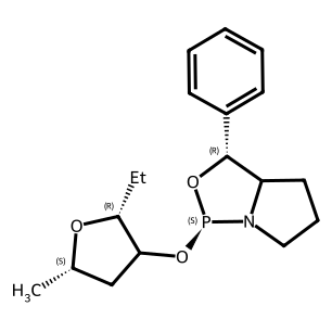 CC[C@H]1O[C@@H](C)CC1O[P@@]1O[C@H](c2ccccc2)C2CCCN21